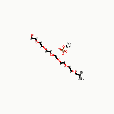 CCCCC(CC)COCCOCCOCCOCCOCCOCCO.O=S(=O)([O-])[O-].[Na+].[Na+]